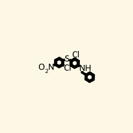 O=[N+]([O-])c1ccc(Sc2ccc(NCc3ccccc3)cc2Cl)c(Cl)c1